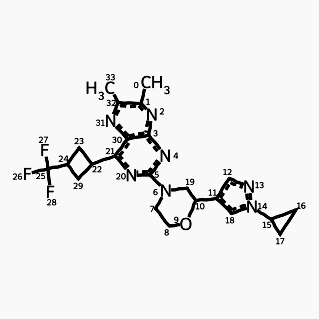 Cc1nc2nc(N3CCOC(c4cnn(C5CC5)c4)C3)nc(C3CC(C(F)(F)F)C3)c2nc1C